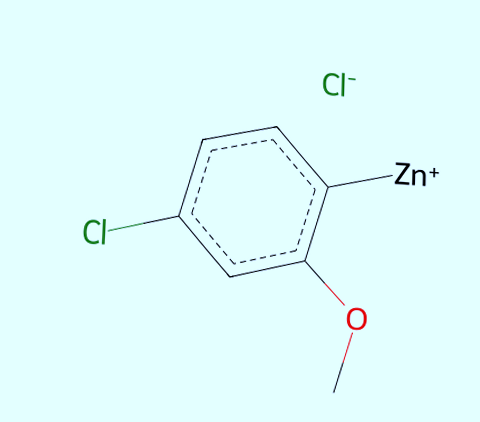 COc1cc(Cl)cc[c]1[Zn+].[Cl-]